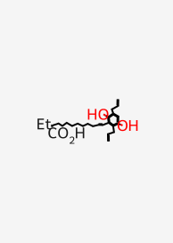 C=CCc1cc(O)c(CC=C)c(C=CCCCCCCCCC(CC)C(=O)O)c1O